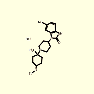 CCOC1CCC(C)(N2CCC(n3c(=O)[nH]c4ccc(C#N)cc43)CC2)CC1.Cl